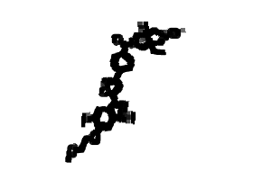 CCC12CN(C(=O)c3ccc(-c4cc(-c5n[nH]c6cc(OCCOC)c(F)cc56)on4)cc3)C[C@H]1C[S+]([O-])C2